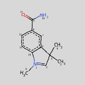 C[N+]1=CC(C)(C)c2cc(C(N)=O)ccc21